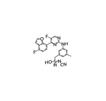 Cc1cc(C[SH](C)(O)=NC#N)cc(Nc2ncc(F)c(-c3ccc(F)c4ccoc34)n2)c1